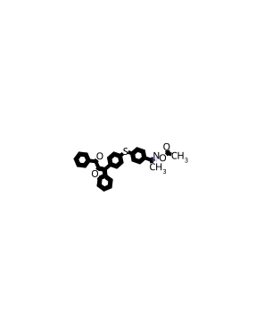 CC(=O)O/N=C(\C)c1ccc(Sc2ccc(-c3c(C(=O)c4ccccc4)oc4ccccc34)cc2)cc1